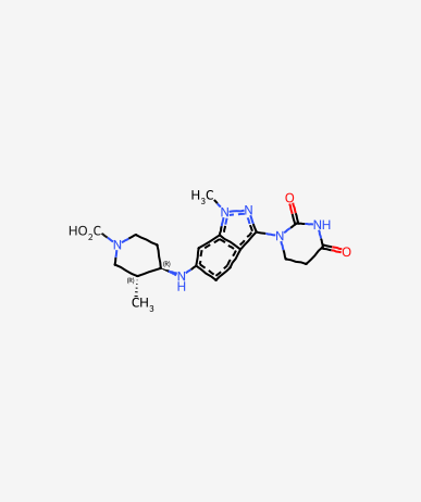 C[C@@H]1CN(C(=O)O)CC[C@H]1Nc1ccc2c(N3CCC(=O)NC3=O)nn(C)c2c1